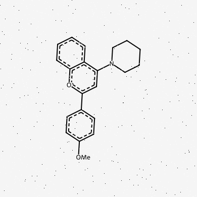 COc1ccc(-c2cc(N3CCCCC3)c3ccccc3[o+]2)cc1